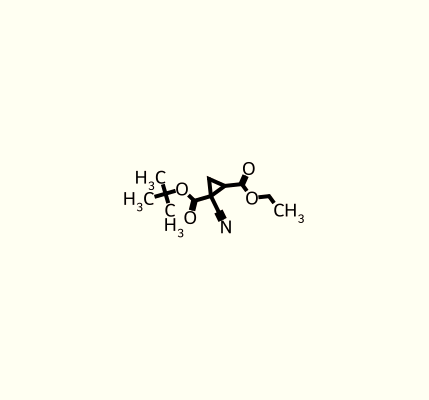 CCOC(=O)C1CC1(C#N)C(=O)OC(C)(C)C